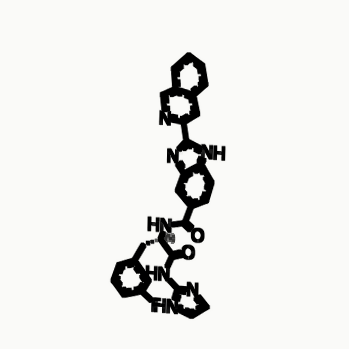 O=C(N[C@@H](Cc1cccc(F)c1)C(=O)Nc1ncc[nH]1)c1ccc2[nH]c(-c3cc4ccccc4cn3)nc2c1